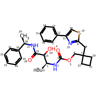 CCCC[C@H](NC(=O)OCC1(Cc2nc(-c3ccccc3)cs2)CCC1)C(O)C(=O)N[C@H](C)c1ccccc1